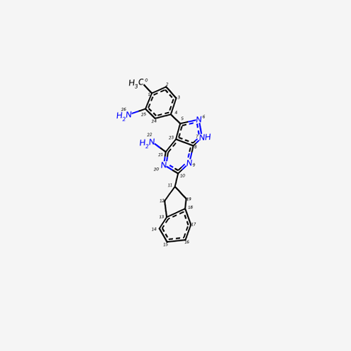 Cc1ccc(-c2n[nH]c3nc(C4Cc5ccccc5C4)nc(N)c23)cc1N